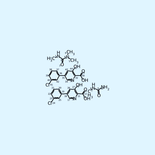 CNC(=O)N(C)C.CNC(N)=O.O=C(O)c1ncc(-c2cccc(Cl)c2)cc1O.O=C(O)c1ncc(-c2cccc(Cl)c2)cc1O